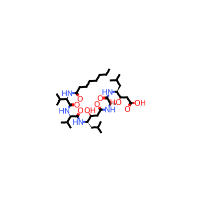 CCCCCCCC(=O)N[C@H](C(=O)N[C@H](C(=O)N[C@@H](CC(C)C)[C@@H](O)CC(=O)N[C@@H](C)C(=O)N[C@@H](CC(C)C)[C@@H](O)CC(=O)O)C(C)C)C(C)C